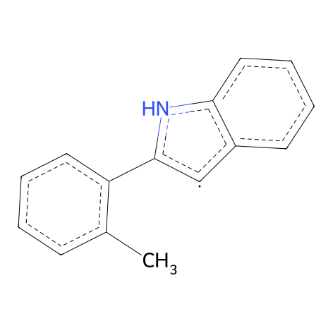 Cc1ccccc1-c1[c]c2ccccc2[nH]1